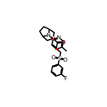 Cc1ccc(N2C3CCC2CN(C(=O)CCS(=O)(=O)c2cccc(F)c2)C3)nc1